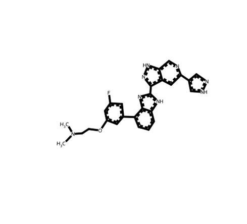 CN(C)CCOc1cc(F)cc(-c2cccc3[nH]c(-c4n[nH]c5cnc(-c6cn[nH]c6)cc45)nc23)c1